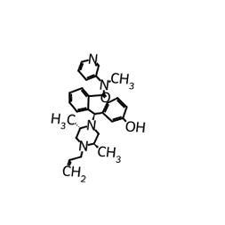 C=CCN1C[C@H](C)N([C@H](c2cccc(O)c2)c2ccccc2C(=O)N(C)c2cccnc2)C[C@H]1C